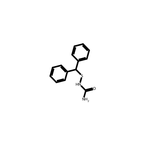 NC(=O)NSC(c1ccccc1)c1ccccc1